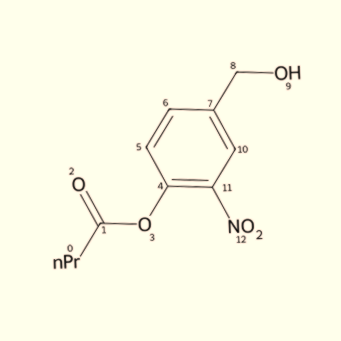 CCCC(=O)Oc1ccc(CO)cc1[N+](=O)[O-]